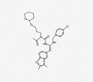 CC(=O)N(CCCOC1CCCCO1)C(=O)N/C(=N\c1ccc2oc(C)c(C)c2c1)NCc1ccc(Cl)cc1